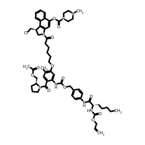 C=CCOC(=O)N[C@@H](CCCCC)C(=O)Nc1ccc(COC(=O)Nc2cc(OCCCCCC(=O)N3C[C@@H](CCl)c4c3cc(OC(=O)N3CCN(C)CC3)c3ccccc43)c(C)cc2C(=O)N2CCC[C@H]2COC(C)=O)cc1